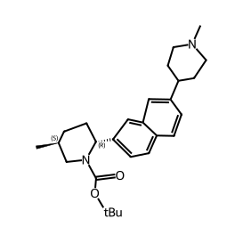 C[C@H]1CC[C@H](c2ccc3ccc(C4CCN(C)CC4)cc3c2)N(C(=O)OC(C)(C)C)C1